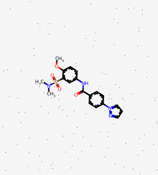 COc1ccc(NC(=O)c2ccc(-n3cccn3)cc2)cc1S(=O)(=O)N(C)C